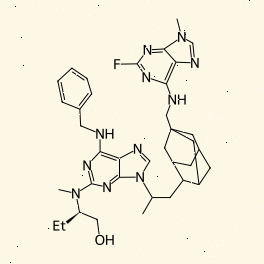 CC[C@H](CO)N(C)c1nc(NCc2ccccc2)c2ncn(C(C)CC3C4CC5CC3CC(CNc3nc(F)nc6c3ncn6C)(C5)C4)c2n1